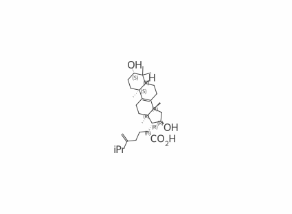 C=C(CC[C@@H](C(=O)O)[C@H]1[C@H](O)C[C@@]2(C)C3=C(CC[C@]12C)[C@@]1(C)CC[C@H](O)C(C)(C)[C@@H]1CC3)C(C)C